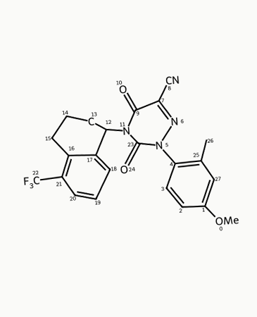 COc1ccc(-n2nc(C#N)c(=O)n(C3CCCc4c3cccc4C(F)(F)F)c2=O)c(C)c1